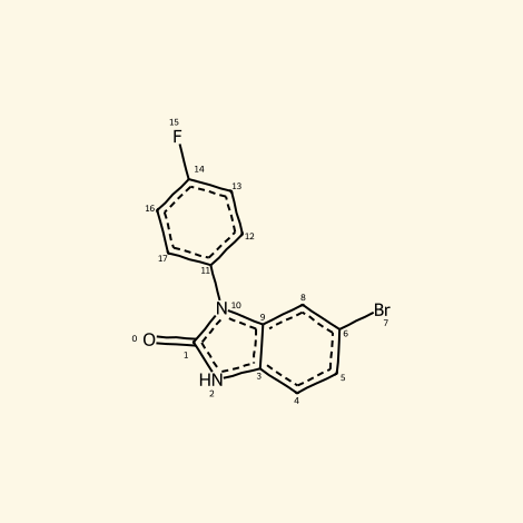 O=c1[nH]c2ccc(Br)cc2n1-c1ccc(F)cc1